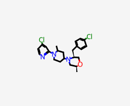 CC1CC(N2C[C@H](C)OC[C@@H]2Cc2ccc(Cl)cc2)CCN1c1cc(Cl)ccn1